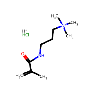 C=C(C)C(=O)NCCC[N+](C)(C)C.Cl.[H+]